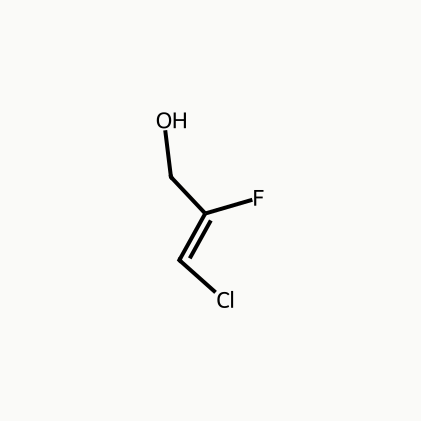 OCC(F)=CCl